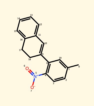 Cc1ccc([N+](=O)[O-])c(C2=Cc3ccccc3CC2)c1